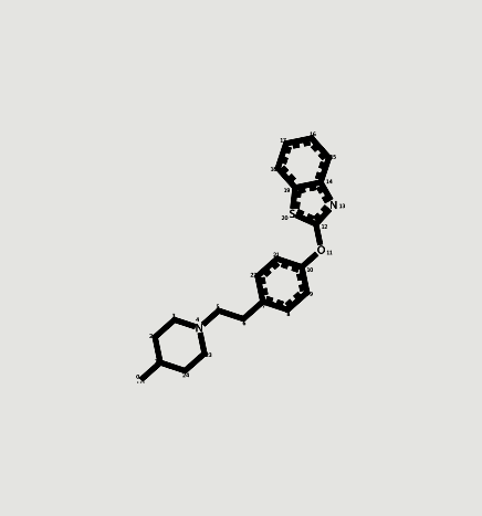 [C]C1CCN(CCc2ccc(Oc3nc4ccccc4s3)cc2)CC1